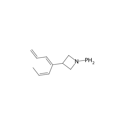 C=C/C=C(\C=C/C)C1CN(P)C1